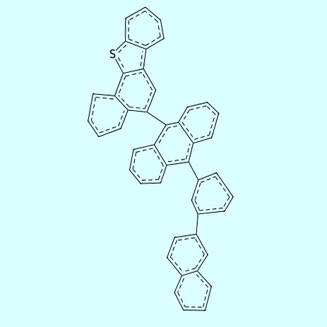 c1cc(-c2ccc3ccccc3c2)cc(-c2c3ccccc3c(-c3cc4c5ccccc5sc4c4ccccc34)c3ccccc23)c1